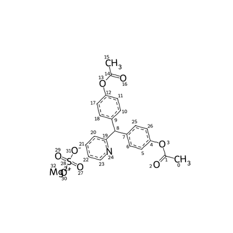 CC(=O)Oc1ccc(C(c2ccc(OC(C)=O)cc2)c2ccccn2)cc1.O=S(=O)([O-])[O-].[Mg+2]